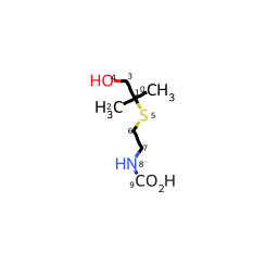 CC(C)(CO)SCCNC(=O)O